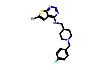 CCc1cc2c(NCC3CCN(Cc4ccc(F)cc4)CC3)ncnc2s1